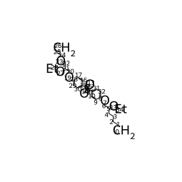 C=CCCCC(COc1ccc(S(=O)(=O)c2ccc(OCC(COCC=C)OCC)cc2)cc1)OCC